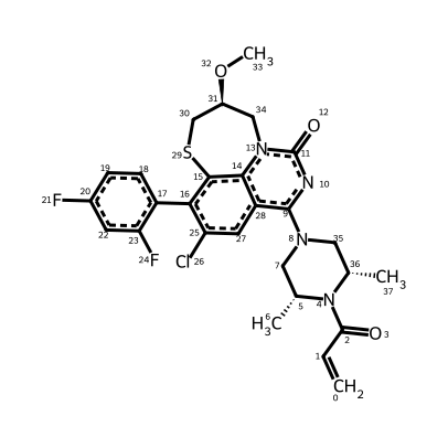 C=CC(=O)N1[C@H](C)CN(c2nc(=O)n3c4c(c(-c5ccc(F)cc5F)c(Cl)cc24)SC[C@@H](OC)C3)C[C@@H]1C